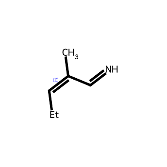 CC/C=C(/C)C=N